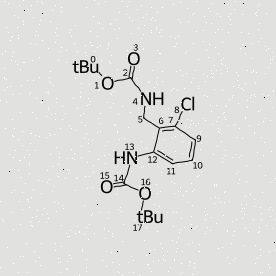 CC(C)(C)OC(=O)NCc1c(Cl)cccc1NC(=O)OC(C)(C)C